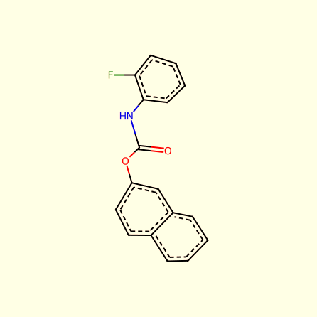 O=C(Nc1ccccc1F)Oc1ccc2ccccc2c1